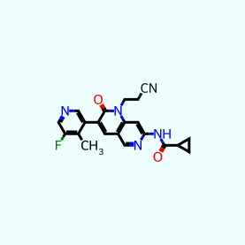 Cc1c(F)cncc1-c1cc2cnc(NC(=O)C3CC3)cc2n(CCC#N)c1=O